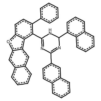 c1ccc(-c2ccc3oc4cc5ccccc5cc4c3c2C2=NC(c3ccc4ccccc4c3)=NC(c3cccc4ccccc34)N2)cc1